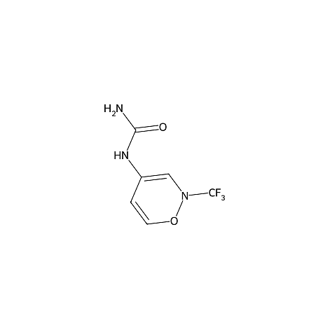 NC(=O)NC1=CN(C(F)(F)F)OC=C1